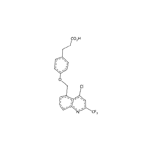 O=C(O)CCc1ccc(OCc2cccc3nc(C(F)(F)F)cc(Cl)c23)cc1